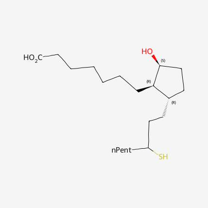 CCCCCC(S)CC[C@H]1CC[C@H](O)[C@@H]1CCCCCCC(=O)O